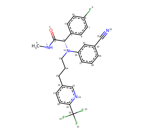 CNC(=O)[C@H](c1ccc(F)cc1)N(CCCc1ccc(C(F)(F)F)nc1)c1cccc(C#N)c1